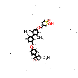 Cc1cc(OCC2CCS(O)(O)C2)cc(C)c1-c1cccc(COc2ccc(C3(CC(=O)O)COC3)cc2)c1